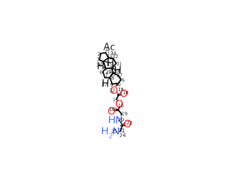 CC(=O)[C@H]1CC[C@H]2[C@@H]3CC[C@H]4C[C@](C)(OC(=O)COC(=O)CNC(=O)[C@H](C)N)CC[C@]4(C)[C@H]3CC[C@]12C